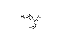 Cn1cc(-c2cc(CO)ccc2C=O)cn1